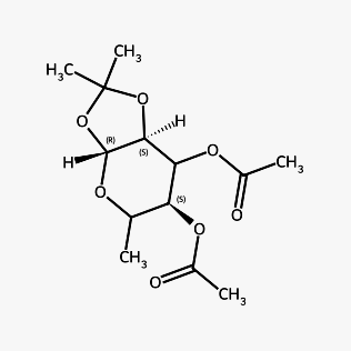 CC(=O)OC1[C@@H](OC(C)=O)C(C)O[C@@H]2OC(C)(C)O[C@@H]12